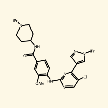 COc1cc(C(=O)NC2CCN(C(C)C)CC2)ccc1Nc1ncc(Cl)c(-c2cnn(C(C)C)c2)n1